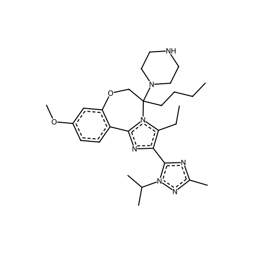 CCCCC1(N2CCNCC2)COc2cc(OC)ccc2-c2nc(-c3nc(C)nn3C(C)C)c(CC)n21